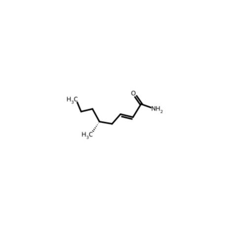 CCC[C@@H](C)C/C=C/C(N)=O